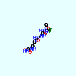 COc1cc(NCCNC(=O)CN2CCC(c3ccc(NC4CCC(=O)NC4=O)cc3)CC2)ccc1Nc1ncc(C(F)(F)F)c(Oc2ccccc2)n1